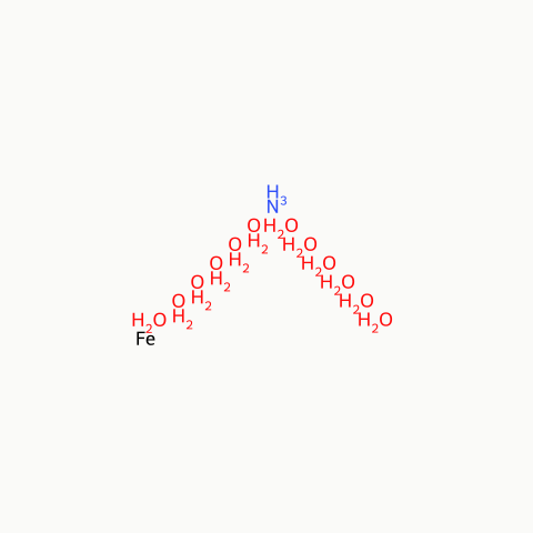 N.O.O.O.O.O.O.O.O.O.O.O.O.[Fe]